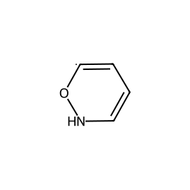 [C]1=CC=CNO1